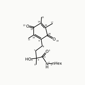 CCCCCCNC(=O)C(C)(O)CCC1=C(C)C(=O)C(C)=C(C)C1=O